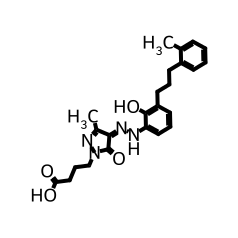 CC1=NN(CCCC(=O)O)C(=O)/C1=N\Nc1cccc(CCCc2ccccc2C)c1O